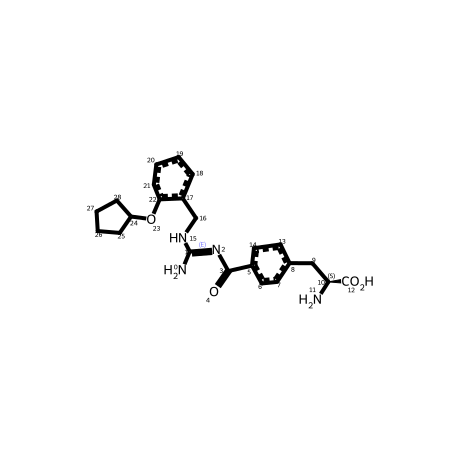 N/C(=N\C(=O)c1ccc(C[C@H](N)C(=O)O)cc1)NCc1ccccc1OC1CCCC1